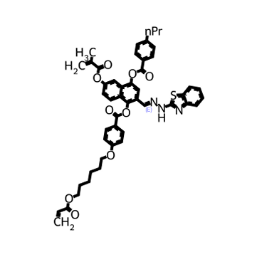 C=CC(=O)OCCCCCCOc1ccc(C(=O)Oc2c(/C=N/Nc3nc4ccccc4s3)cc(OC(=O)c3ccc(CCC)cc3)c3cc(OC(=O)C(=C)C)ccc23)cc1